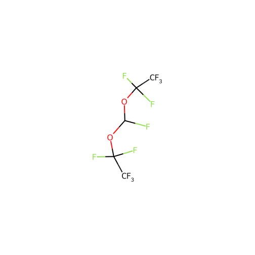 FC(OC(F)(F)C(F)(F)F)OC(F)(F)C(F)(F)F